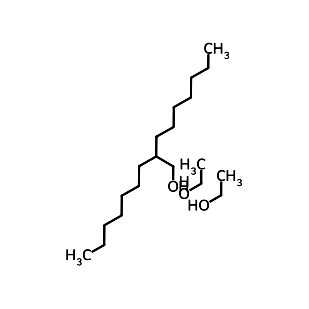 CCCCCCCC(CO)CCCCCCC.CCO.CCO